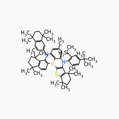 C[SiH2]c1cc(C(C)(C)C)ccc1N1c2cc(C)cc3c2B(c2ccc4c(c2N3c2ccc3c(c2)C(C)(C)CCC3(C)C)C(C)(C)CCC4(C)C)c2sc3c(c21)C(C)(C)CCC3(C)C